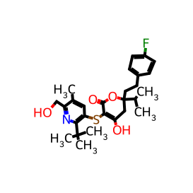 Cc1cc(SC2=C(O)CC(CCc3ccc(F)cc3)(C(C)C)OC2=O)c(C(C)(C)C)nc1CO